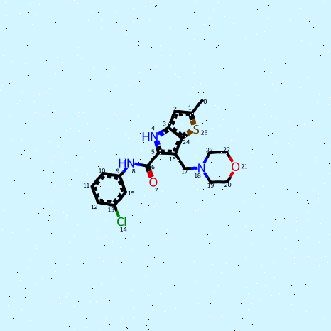 Cc1cc2[nH]c(C(=O)Nc3cccc(Cl)c3)c(CN3CCOCC3)c2s1